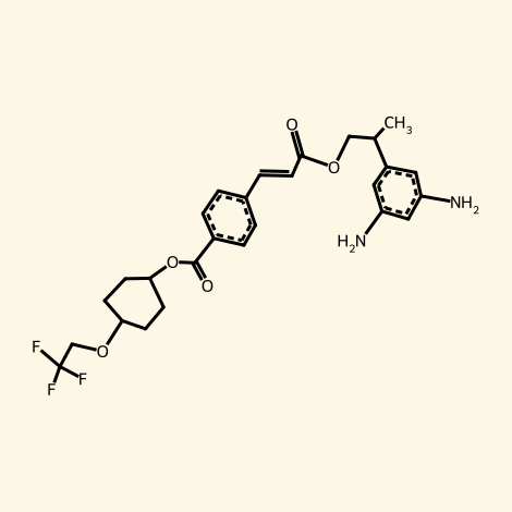 CC(COC(=O)C=Cc1ccc(C(=O)OC2CCC(OCC(F)(F)F)CC2)cc1)c1cc(N)cc(N)c1